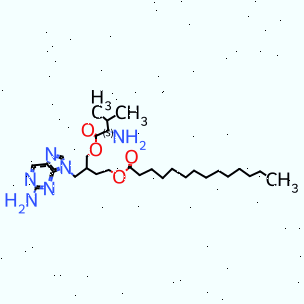 CCCCCCCCCCCCCC(=O)OCCC(COC(=O)[C@@H](N)C(C)C)Cn1cnc2cnc(N)nc21